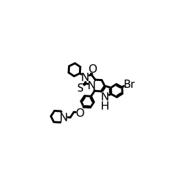 O=C1C2Cc3c([nH]c4ccc(Br)cc34)C(c3ccc(OCCN4CCCCC4)cc3)N2C(=S)N1C1CCCCC1